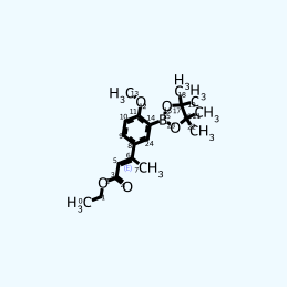 CCOC(=O)/C=C(\C)c1ccc(OC)c(B2OC(C)(C)C(C)(C)O2)c1